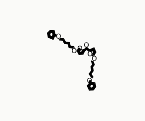 O=C(c1ccc(OCCCCCCOc2ccccc2)o1)c1ccc(OCCCCCCOc2ccccc2)o1